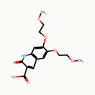 COCCOc1cc2cc(C(=O)O)c(=O)[nH]c2cc1OCCOC